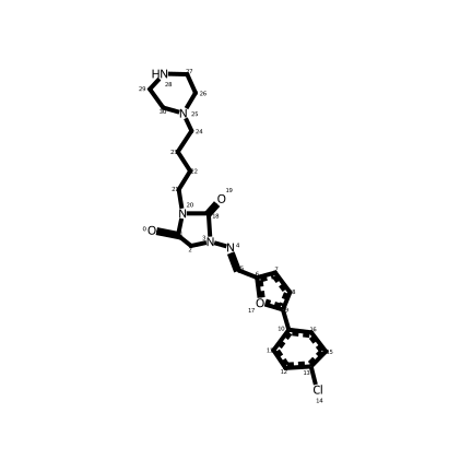 O=C1CN(/N=C/c2ccc(-c3ccc(Cl)cc3)o2)C(=O)N1CCCCN1CCNCC1